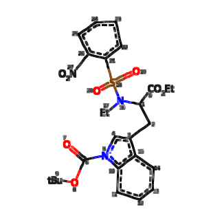 CCOC(=O)C(Cc1cn(C(=O)OC(C)(C)C)c2ccccc12)N(CC)S(=O)(=O)c1ccccc1[N+](=O)[O-]